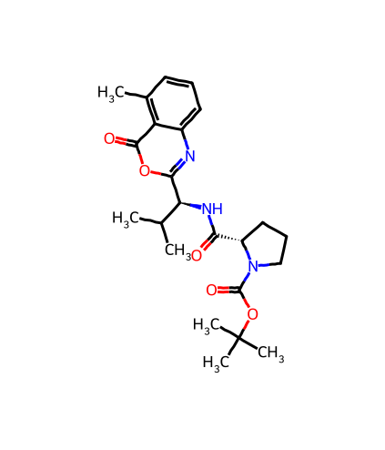 Cc1cccc2nc([C@@H](NC(=O)[C@@H]3CCCN3C(=O)OC(C)(C)C)C(C)C)oc(=O)c12